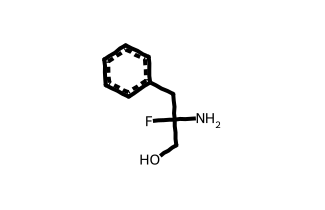 NC(F)(CO)Cc1ccccc1